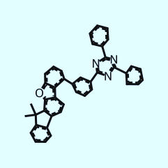 CC1(C)c2ccccc2-c2ccc3c(oc4cccc(-c5cccc(-c6nc(-c7ccccc7)nc(-c7ccccc7)n6)c5)c43)c21